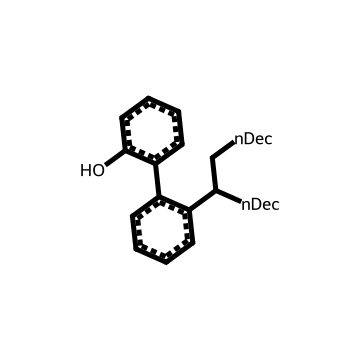 CCCCCCCCCCCC(CCCCCCCCCC)c1ccccc1-c1ccccc1O